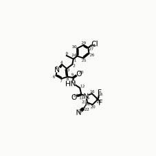 CC(Cc1cnccc1C(=O)NCC(=O)N1CC(F)(F)C[C@H]1C#N)c1ccc(Cl)cc1